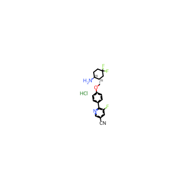 Cl.N#Cc1cnc(-c2ccc(OC[C@H]3CC(F)(F)CC[C@@H]3N)cc2)c(F)c1